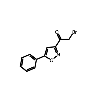 O=C(CBr)c1cc(-c2ccccc2)on1